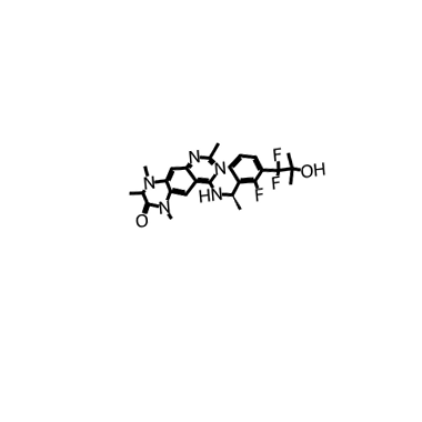 Cc1nc(N[C@H](C)c2cccc(C(F)(F)C(C)(C)O)c2F)c2cc3c(cc2n1)N(C)C(C)C(=O)N3C